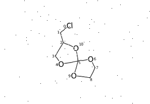 ClCC1COC2(OCCO2)O1